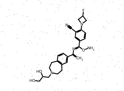 C=C(/N=C(\ON)c1ccc(N2CC(F)C2)c(C#N)c1)c1ccc2c(c1)CCN(CC(O)CO)CC2